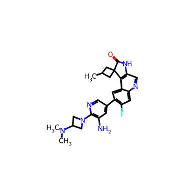 CC1CC2(C1)C(=O)Nc1cnc3cc(F)c(-c4cnc(N5CC(N(C)C)C5)c(N)c4)cc3c12